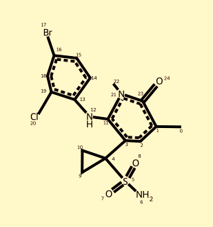 Cc1cc(C2(S(N)(=O)=O)CC2)c(Nc2ccc(Br)cc2Cl)n(C)c1=O